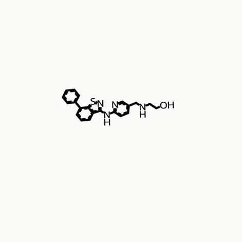 OCCNCc1ccc(Nc2nsc3c(-c4ccccc4)cccc23)nc1